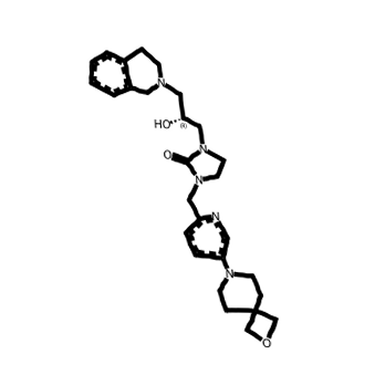 O=C1N(Cc2ccc(N3CCC4(CC3)COC4)cn2)CCN1C[C@H](O)CN1CCc2ccccc2C1